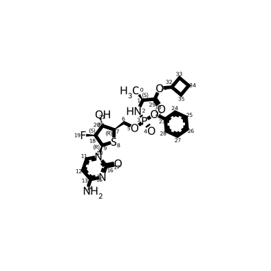 C[C@H](NP(=O)(OC[C@H]1S[C@@H](n2ccc(N)nc2=O)[C@@H](F)[C@@H]1O)Oc1ccccc1)C(=O)OC1CCC1